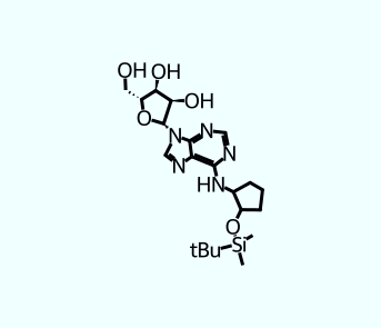 CC(C)(C)[Si](C)(C)OC1CCCC1Nc1ncnc2c1ncn2[C@@H]1O[C@H](CO)[C@@H](O)[C@H]1O